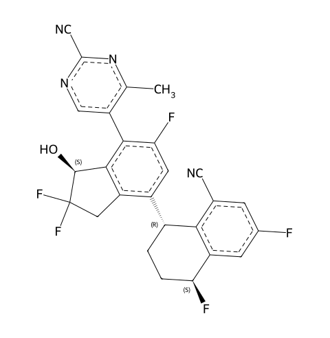 Cc1nc(C#N)ncc1-c1c(F)cc([C@H]2CC[C@H](F)c3cc(F)cc(C#N)c32)c2c1[C@H](O)C(F)(F)C2